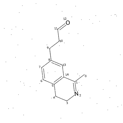 CC1=NCCc2ccc(CCC=O)cc21